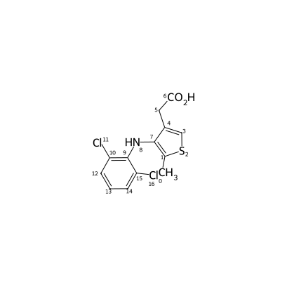 Cc1scc(CC(=O)O)c1Nc1c(Cl)cccc1Cl